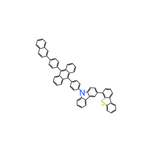 c1ccc2cc(-c3ccc(-c4c5ccccc5c(-c5ccc(-n6c7ccccc7c7cc(-c8cccc9c8sc8ccccc89)ccc76)cc5)c5ccccc45)cc3)ccc2c1